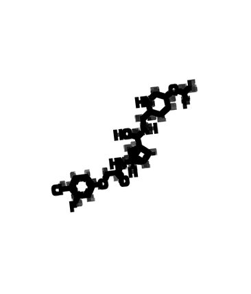 O=C(COc1ccc(Cl)c(F)c1)N[C@H]1CC2(C(O)NCC3CCC(OC(F)F)CN3)CC1C2